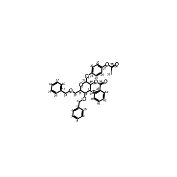 CC(C)C1C(OCc2ccccc2)C(COCc2ccccc2)OC(Oc2ccc(OC(=O)I)cc2)C1OC(=O)c1ccccc1